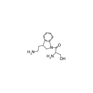 NCCC1CN(C(=O)C(N)CO)c2ccccc21